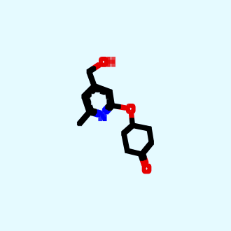 Cc1cc(CO)cc(OC2CCC(=O)CC2)n1